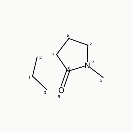 CCC.CN1CCCC1=O